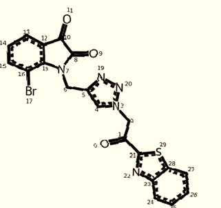 O=C(Cn1cc(CN2C(=O)C(=O)c3cccc(Br)c32)nn1)c1nc2ccccc2s1